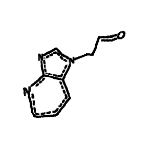 O=CCn1cnc2ncccc21